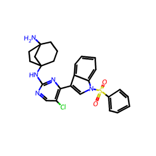 NC12CCCC(Nc3ncc(Cl)c(-c4cn(S(=O)(=O)c5ccccc5)c5ccccc45)n3)(CC1)C2